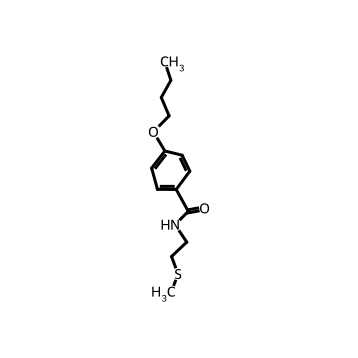 CCCCOc1ccc(C(=O)NCCSC)cc1